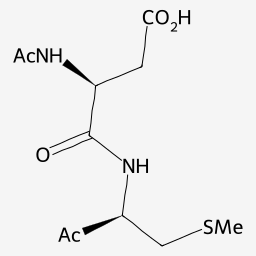 CSC[C@H](NC(=O)[C@H](CC(=O)O)NC(C)=O)C(C)=O